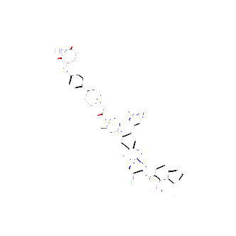 COc1cc(N2CCN(C(=O)CN3CCC(c4ccc(NC5CCC(=O)NC5=O)cc4)CC3)C(C)C2)c(-c2cnn(C)c2)cc1Nc1ncc(Br)c(Nc2ccc3ccccc3c2P(C)C)n1